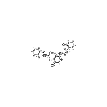 O=C(Cn1c(Cl)cnc(NCC(F)(F)c2cccc[n+]2[O-])c1=O)NCc1ccccc1F